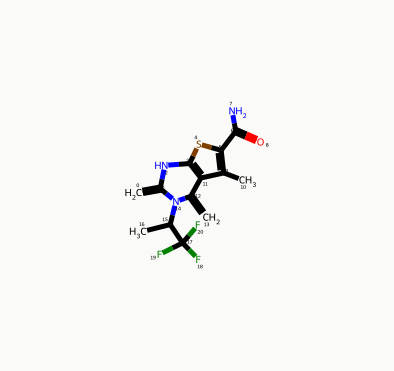 C=C1Nc2sc(C(N)=O)c(C)c2C(=C)N1C(C)C(F)(F)F